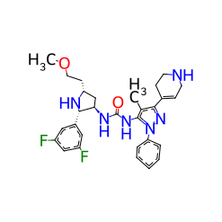 COCC[C@@H]1C[C@@H](NC(=O)Nc2c(C)c(C3=CCNCC3)nn2-c2ccccc2)[C@H](c2cc(F)cc(F)c2)N1